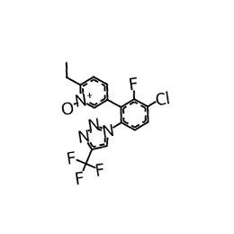 CCc1ccc(-c2c(-n3cc(C(F)(F)F)nn3)ccc(Cl)c2F)c[n+]1[O-]